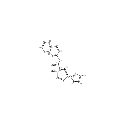 Cc1cc(-c2ccc3nnc(Cc4ccc5ncccc5c4)n3n2)sn1